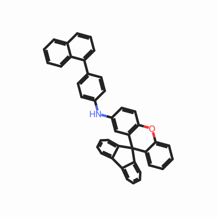 c1ccc2c(c1)Oc1ccc(Nc3ccc(-c4cccc5ccccc45)cc3)cc1C21c2ccccc2-c2ccccc21